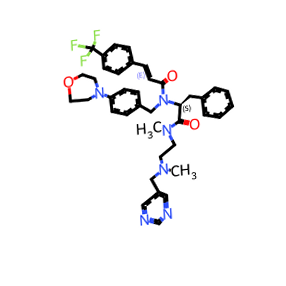 CN(CCN(C)C(=O)[C@H](Cc1ccccc1)N(Cc1ccc(N2CCOCC2)cc1)C(=O)/C=C/c1ccc(C(F)(F)F)cc1)Cc1cncnc1